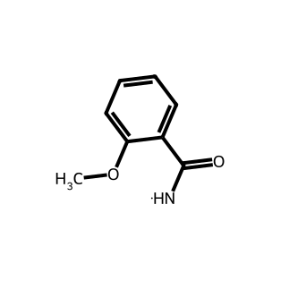 COc1ccccc1C([NH])=O